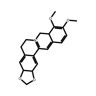 COC1=C(OC)C2C[N+]3=C(C=C2C=C1)C1=CC2OCOC2C=C1CC3